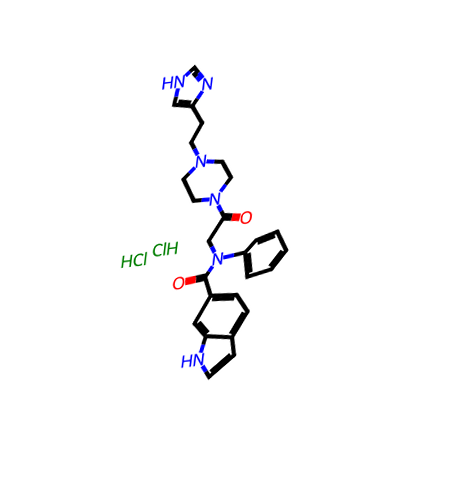 Cl.Cl.O=C(CN(C(=O)c1ccc2cc[nH]c2c1)c1ccccc1)N1CCN(CCc2c[nH]cn2)CC1